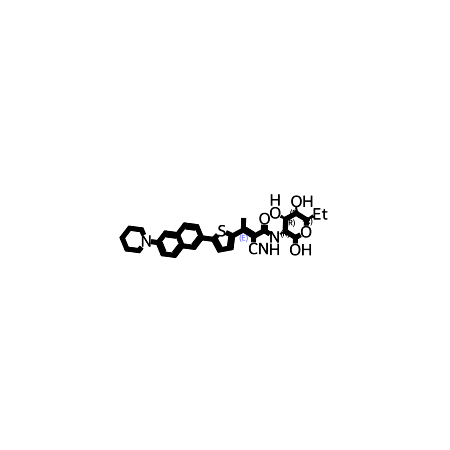 CC[C@H]1OC(O)[C@H](NC(=O)/C(C#N)=C(\C)c2ccc(-c3ccc4cc(N5CCCCC5)ccc4c3)s2)[C@@H](O)[C@@H]1O